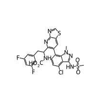 Cn1nc(NS(C)(=O)=O)c2c(Cl)ccc(-c3cc4scnc4nc3C(Cc3cc(F)cc(F)c3)NC(=O)O)c21